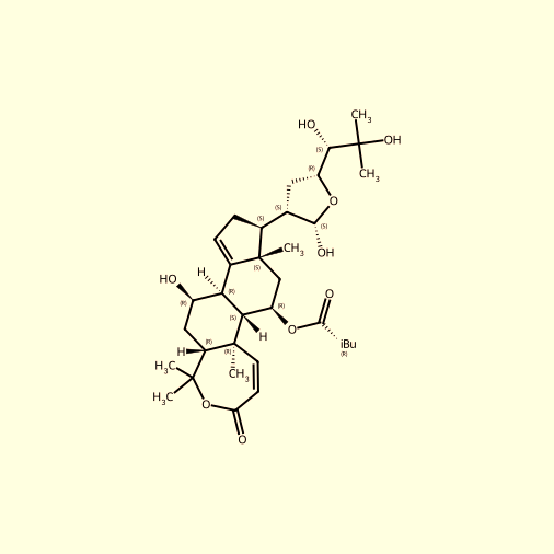 CC[C@@H](C)C(=O)O[C@@H]1C[C@]2(C)C(=CC[C@H]2[C@@H]2C[C@H]([C@H](O)C(C)(C)O)O[C@@H]2O)[C@H]2[C@H]1[C@@]1(C)C=CC(=O)OC(C)(C)[C@@H]1C[C@H]2O